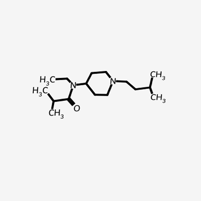 CCN(C(=O)C(C)C)C1CCN(CCC(C)C)CC1